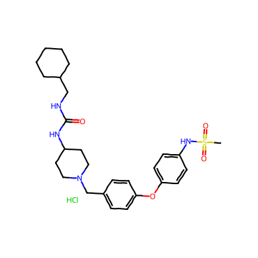 CS(=O)(=O)Nc1ccc(Oc2ccc(CN3CCC(NC(=O)NCC4CCCCC4)CC3)cc2)cc1.Cl